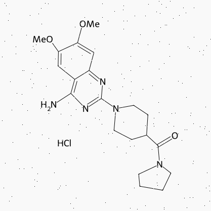 COc1cc2nc(N3CCC(C(=O)N4CCCC4)CC3)nc(N)c2cc1OC.Cl